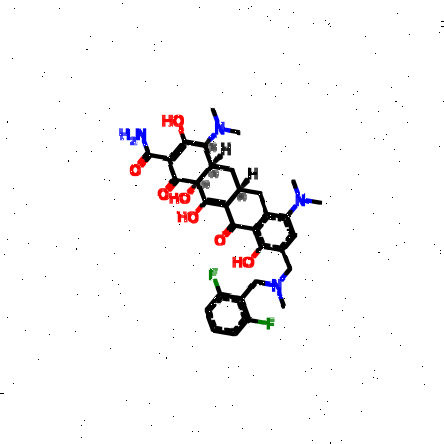 CN(Cc1cc(N(C)C)c2c(c1O)C(=O)C1=C(O)[C@]3(O)C(=O)C(C(N)=O)=C(O)[C@@H](N(C)C)[C@@H]3C[C@@H]1C2)Cc1c(F)cccc1F